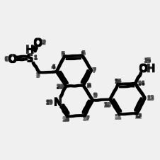 O=[SH](=O)Cc1cccc2c(-c3cccc(O)c3)ccnc12